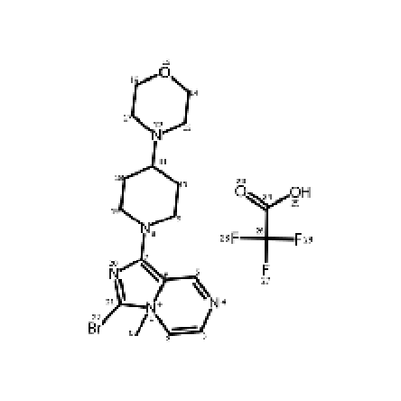 C[N+]12C=CN=CC1=C(N1CCC(N3CCOCC3)CC1)N=C2Br.O=C(O)C(F)(F)F